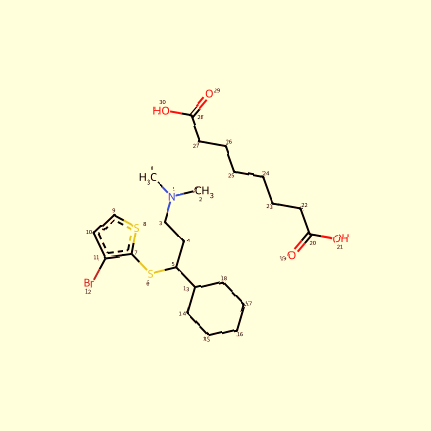 CN(C)CCC(Sc1sccc1Br)C1CCCCC1.O=C(O)CCCCCCC(=O)O